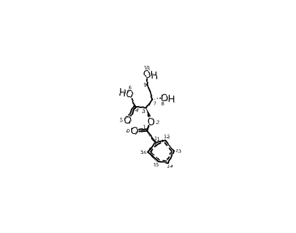 O=C(O[C@@H](C(=O)O)[C@@H](O)CO)c1ccccc1